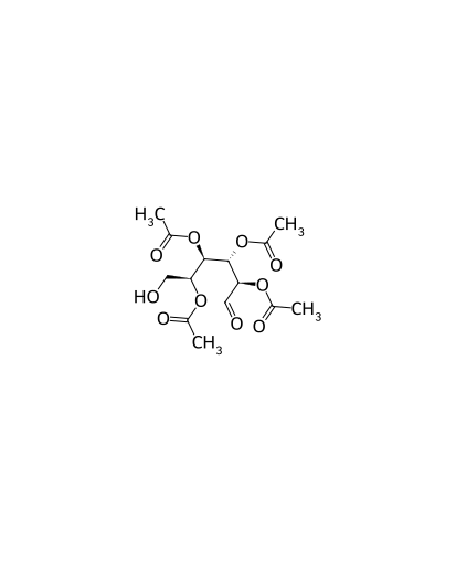 CC(=O)O[C@@H]([C@H](OC(C)=O)[C@H](CO)OC(C)=O)[C@H](C=O)OC(C)=O